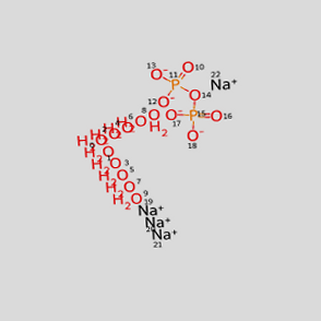 O.O.O.O.O.O.O.O.O.O.O=P([O-])([O-])OP(=O)([O-])[O-].[Na+].[Na+].[Na+].[Na+]